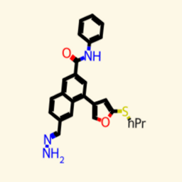 CCCSc1cc(-c2cc(C(=O)Nc3ccccc3)cc3ccc(C=NN)cc23)co1